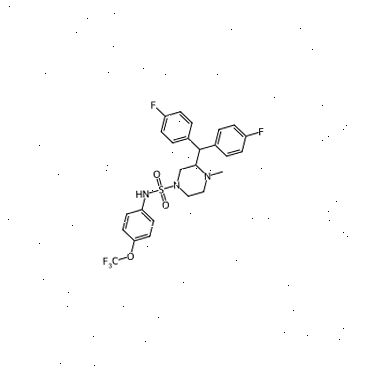 CN1CCN(S(=O)(=O)Nc2ccc(OC(F)(F)F)cc2)CC1C(c1ccc(F)cc1)c1ccc(F)cc1